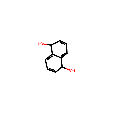 OC1C=CC=C2C1=CC=CC2O